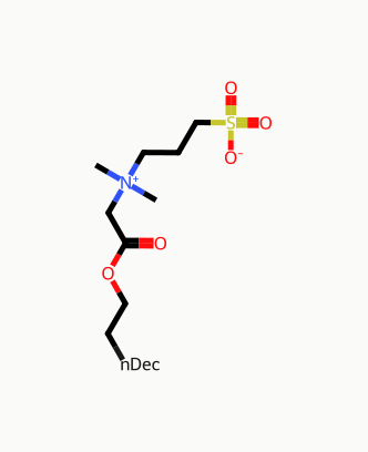 CCCCCCCCCCCCOC(=O)C[N+](C)(C)CCCS(=O)(=O)[O-]